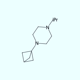 CC(C)N1CCN(C23CC(C2)C3)CC1